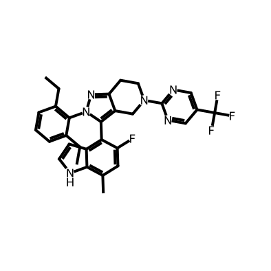 CCc1cccc(CC)c1-n1nc2c(c1-c1c(F)cc(C)c3[nH]ccc13)CN(c1ncc(C(F)(F)F)cn1)CC2